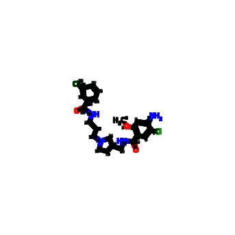 COc1cc(N)c(Cl)cc1C(=O)NCC1CCN(CCCNC(=O)c2cccc(Cl)c2)C1